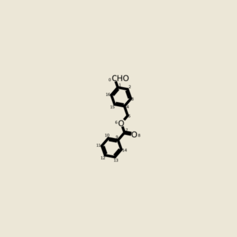 O=Cc1ccc(COC(=O)c2ccccc2)cc1